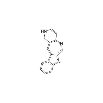 C1=Cc2ncc3nc4ccccc4c-3cc2CN1